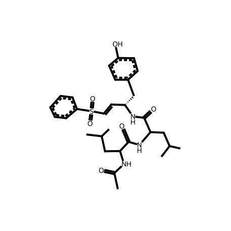 CC(=O)NC(CC(C)C)C(=O)NC(CC(C)C)C(=O)N[C@H](/C=C/S(=O)(=O)c1ccccc1)Cc1ccc(O)cc1